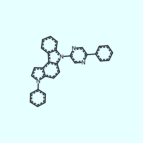 c1ccc(-c2cnc(-n3c4ccccc4c4c5ccn(-c6ccccc6)c5ccc43)cn2)cc1